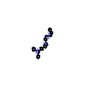 c1ccc(-c2cc(-c3ccc(-c4ccc5ccc(-c6ccc7ccc(-c8ccc9ccc%10ccccc%10c9n8)nc7c6)nc5c4)cc3)nc(-c3ccccc3)n2)cc1